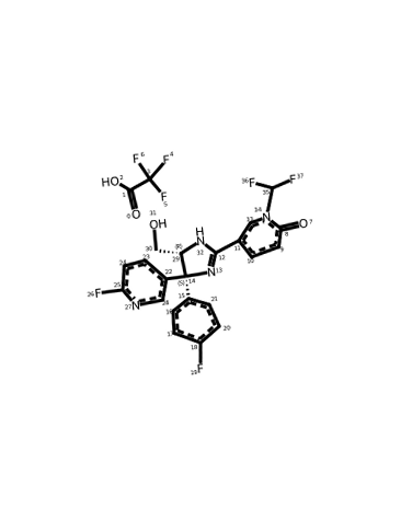 O=C(O)C(F)(F)F.O=c1ccc(C2=N[C@@](c3ccc(F)cc3)(c3ccc(F)nc3)[C@H](CO)N2)cn1C(F)F